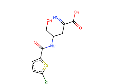 N=C(CC(CO)NC(=O)c1ccc(Cl)s1)C(=O)O